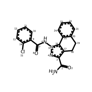 NC(=O)c1nn(NC(=O)c2ccccc2Cl)c2c1CCc1ccccc1-2